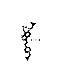 CN(C)Cc1c(OCC2CC2)ccc2c(CCC3CCN(CC4CC4)CC3)noc12.Cl.Cl